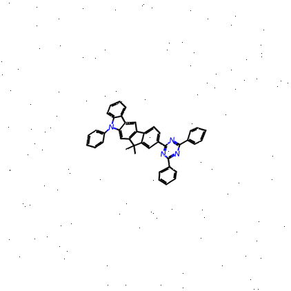 CC1(C)c2cc(-c3nc(-c4ccccc4)nc(-c4ccccc4)n3)ccc2-c2cc3c4ccccc4n(-c4ccccc4)c3cc21